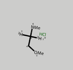 Cl.[2H]C([2H])(COC)NC